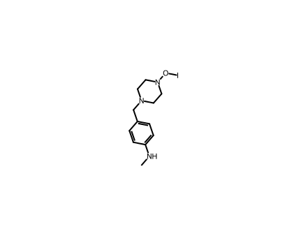 CNc1ccc(CN2CCN(OI)CC2)cc1